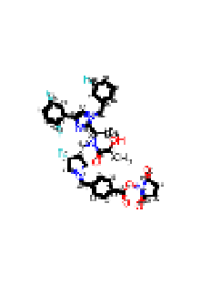 C[C@H](O)C(=O)N(C[C@@H]1CN(Cc2ccc(C(=O)ON3C(=O)CCC3=O)cc2)C[C@@H]1F)[C@@H](c1nc(-c2cc(F)ccc2F)cn1Cc1cccc(F)c1)C(C)(C)C